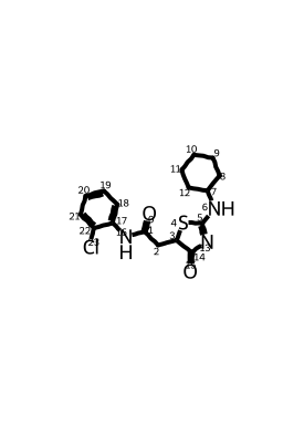 O=C(CC1SC(NC2CCCCC2)=NC1=O)Nc1ccccc1Cl